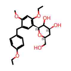 CCOc1ccc(Cc2cc([C@@H]3O[C@H](CO)C[C@H](O)C3O)c(OCC)cc2OC)cc1